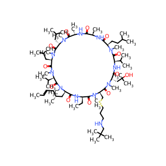 C/C=C/C[C@@H](C)C[C@@H]1C(=O)N[C@H](CC)C(=O)N(C)[C@H](CSCCCNCC(C)(C)C)C(=O)N(C)[C@@H](CC(C)(C)O)C(=O)N[C@H](C(C)C)C(=O)N(C)[C@H](CCC(C)C)C(=O)N[C@H](C)C(=O)N[C@@H](C)C(=O)N(C)[C@@H](CC(C)C)C(=O)N(C)[C@H](CC(C)C)C(=O)N(C)[C@H](C(C)C)C(=O)N1C